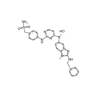 CN(c1ccc2c(c1)nc(NCc1ccccc1)n2C)c1ccnc(Nc2ccc(CS(N)(=O)=O)cc2)n1.Cl